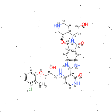 Cc1c(Cl)cccc1OCC(O)CNc1cc[nH]c(=O)c1-c1nc2cc3c(cc2[nH]1)C(=O)N(C(CCO)C1CCNCC1)C3=O